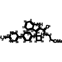 COCCNC(=O)c1[nH]c2ccccc2c1C1(c2ccc(-c3cnc(N)nc3)cc2)CCC1